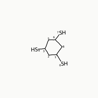 S[C]1CC(S)CC(S)C1